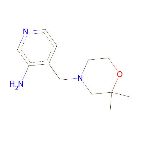 CC1(C)CN(Cc2ccncc2N)CCO1